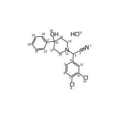 Cl.N#CC(c1ccc(Cl)c(Cl)c1)N1CCC(O)(c2ccccc2)CC1